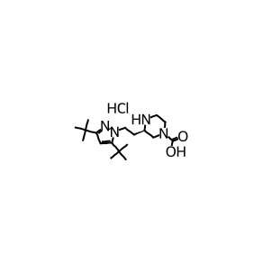 CC(C)(C)c1cc(C(C)(C)C)n(CC[C@@H]2CN(C(=O)O)CCN2)n1.Cl